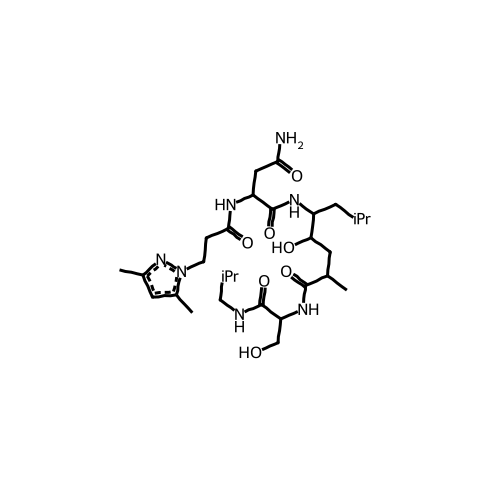 Cc1cc(C)n(CCC(=O)NC(CC(N)=O)C(=O)NC(CC(C)C)C(O)CC(C)C(=O)NC(CO)C(=O)NCC(C)C)n1